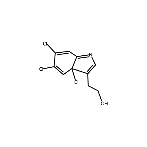 OCCC1=CN=C2C=C(Cl)C(Cl)=CC12Cl